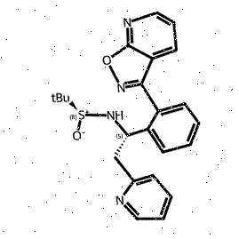 CC(C)(C)[S@+]([O-])N[C@@H](Cc1ccccn1)c1ccccc1-c1noc2ncccc12